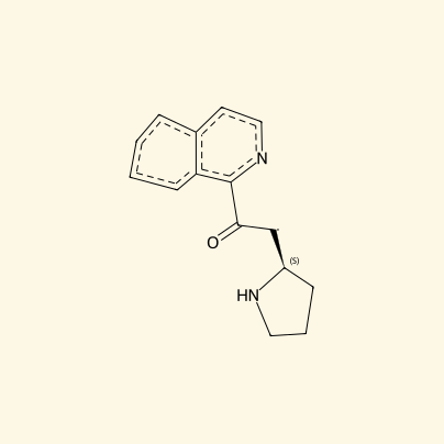 O=C([CH][C@H]1CCCN1)c1nccc2ccccc12